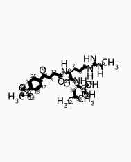 CNC(=N)NCCC[C@H](NC(=O)CCC(=O)c1ccc(S(C)(=O)=O)cc1)C(=O)N[C@@H](CC(C)C)B(O)O